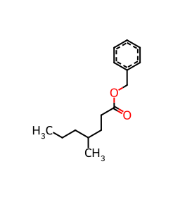 CCCC(C)CCC(=O)OCc1ccccc1